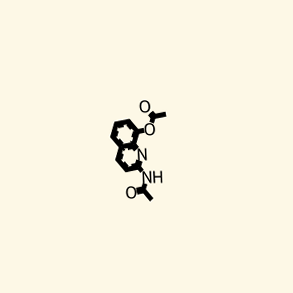 CC(=O)Nc1ccc2cccc(OC(C)=O)c2n1